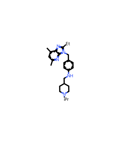 CCc1nc2c(C)cc(C)nc2n1Cc1ccc(NCC2CCN(C(C)C)CC2)cc1